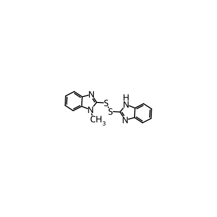 Cn1c(SSc2nc3ccccc3[nH]2)nc2ccccc21